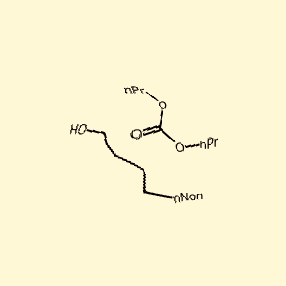 CCCCCCCCCCCCCO.CCCOC(=O)OCCC